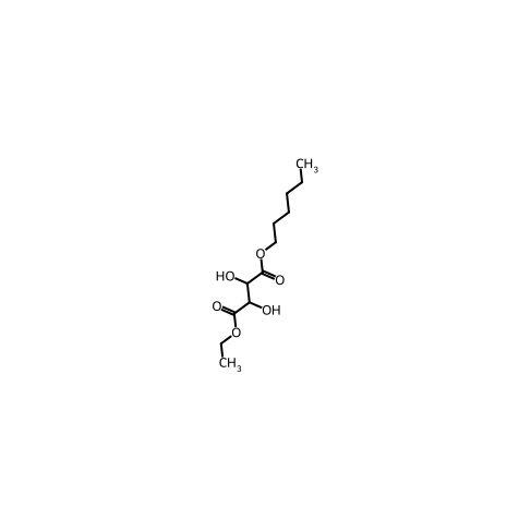 CCCCCCOC(=O)C(O)C(O)C(=O)OCC